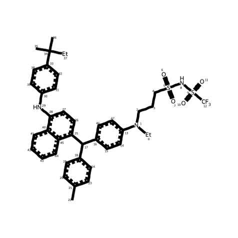 CCN(CCCS(=O)(=O)NS(=O)(=O)C(F)(F)F)c1ccc(C(c2ccc(C)cc2)c2ccc(Nc3ccc(C(C)(C)CC)cc3)c3ccccc23)cc1